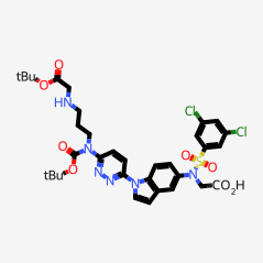 CC(C)(C)OC(=O)CNCCCN(C(=O)OC(C)(C)C)c1ccc(-n2ccc3cc(N(CC(=O)O)S(=O)(=O)c4cc(Cl)cc(Cl)c4)ccc32)nn1